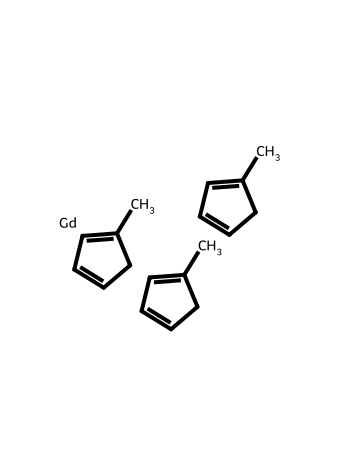 CC1=CC=CC1.CC1=CC=CC1.CC1=CC=CC1.[Gd]